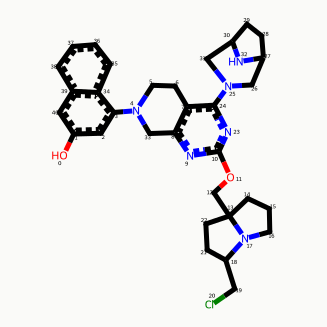 Oc1cc(N2CCc3c(nc(OCC45CCCN4C(CCl)CC5)nc3N3CC4CCC(C3)N4)C2)c2ccccc2c1